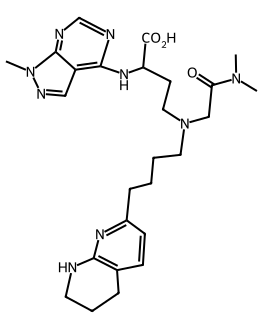 CN(C)C(=O)CN(CCCCc1ccc2c(n1)NCCC2)CCC(Nc1ncnc2c1cnn2C)C(=O)O